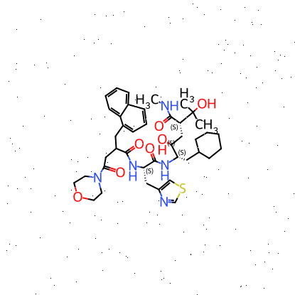 CNC(=O)[C@@H](C[C@H](O)[C@H](CC1CCCCC1)NC(=O)[C@H](Cc1cscn1)NC(=O)C(CC(=O)N1CCOCC1)Cc1cccc2ccccc12)C(C)(C)O